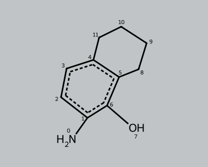 Nc1ccc2c(c1O)CCCC2